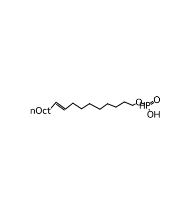 CCCCCCCCC=CCCCCCCCCO[PH](=O)O